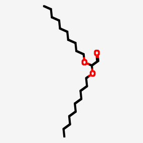 CCCCCCCCCCOC(C=O)OCCCCCCCCCC